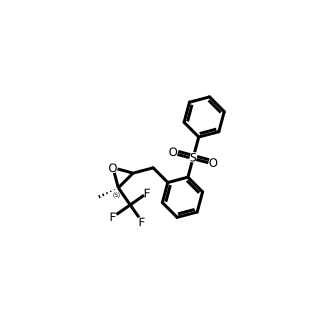 C[C@]1(C(F)(F)F)OC1Cc1ccccc1S(=O)(=O)c1ccccc1